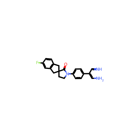 N=C/C(=C\N)c1ccc(N2CCC3(Cc4ccc(F)cc4C3)C2=O)cc1